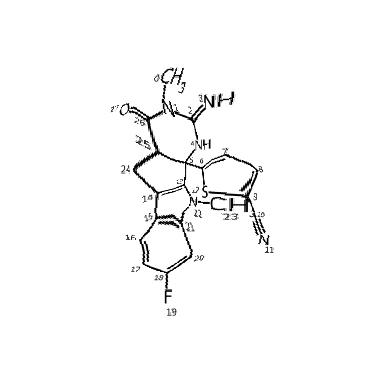 CN1C(=N)NC2(c3ccc(C#N)s3)c3c(c4ccc(F)cc4n3C)CC2C1=O